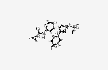 O=C(Nc1cc(-c2cn(CC(F)F)nc2-c2ccc(F)cc2)ccn1)C1CC1